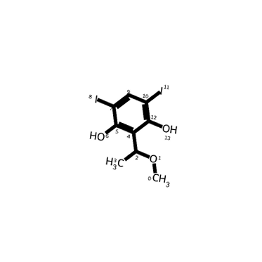 COC(C)c1c(O)c(I)cc(I)c1O